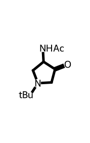 CC(=O)NC1CN(C(C)(C)C)CC1=O